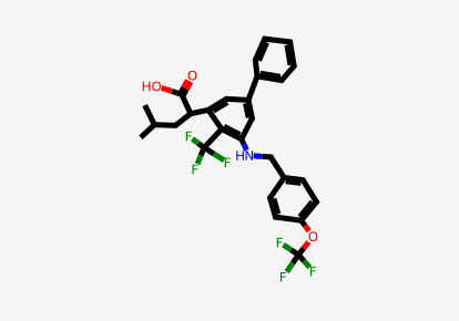 CC(C)CC(C(=O)O)c1cc(-c2ccccc2)cc(NCc2ccc(OC(F)(F)F)cc2)c1C(F)(F)F